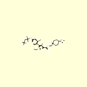 CCn1nc(C(=O)NCC2(O)CCC(S(C)(=O)=O)CC2)c(Cl)c1-c1cnc(NC(C)(C)CC(F)(F)F)cc1C